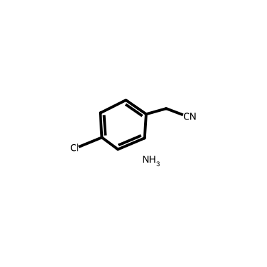 N.N#CCc1ccc(Cl)cc1